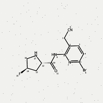 N#CCc1ccc(Br)nc1NC(=O)[C@@H]1C[C@@H](F)CN1